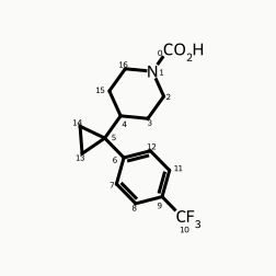 O=C(O)N1CCC(C2(c3ccc(C(F)(F)F)cc3)CC2)CC1